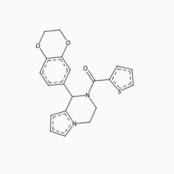 O=C(c1cccs1)N1CCn2cccc2C1c1ccc2c(c1)OCCO2